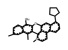 Cc1ccc2c(C(C)(C)C)c3c(c(C)c2c1)-c1c2c(cc4c(C5CCCC5)cccc4c2cc[n+]1C)O3